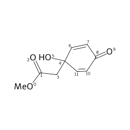 COC(=O)CC1(O)C=CC(=O)C=C1